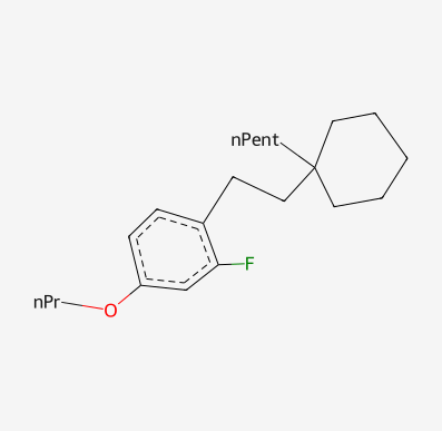 CCCCCC1(CCc2ccc(OCCC)cc2F)CCCCC1